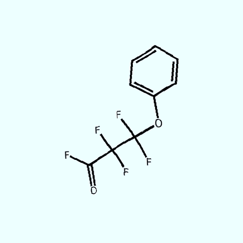 O=C(F)C(F)(F)C(F)(F)Oc1ccccc1